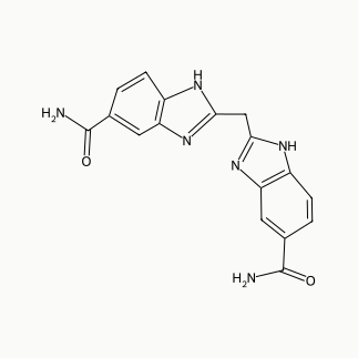 NC(=O)c1ccc2[nH]c(Cc3nc4cc(C(N)=O)ccc4[nH]3)nc2c1